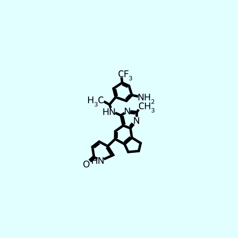 Cc1nc(NC(C)c2cc(N)cc(C(F)(F)F)c2)c2cc(-c3ccc(=O)[nH]c3)c3c(c2n1)CCC3